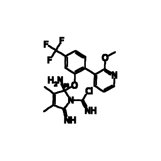 COc1ncccc1-c1ccc(C(F)(F)F)cc1O[C@@]1(N)C(C)=C(C)C(=N)N1C(=N)Cl